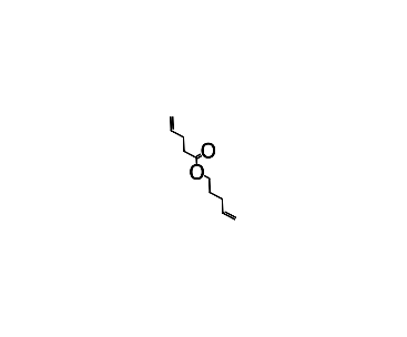 C=CCCCOC(=O)CCC=C